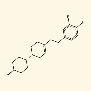 C[C@H]1CC[C@H](C2CC=C(CCc3ccc(F)c(F)c3)CC2)CC1